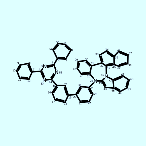 c1ccc(-c2nc(-c3ccccc3)nc(-c3cccc(-c4cccc(N5c6ccccc6-c6ccc7ccccc7c6-n6c5cc5ccccc56)c4)c3)n2)cc1